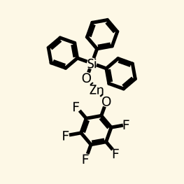 Fc1c(F)c(F)c([O][Zn][O][Si](c2ccccc2)(c2ccccc2)c2ccccc2)c(F)c1F